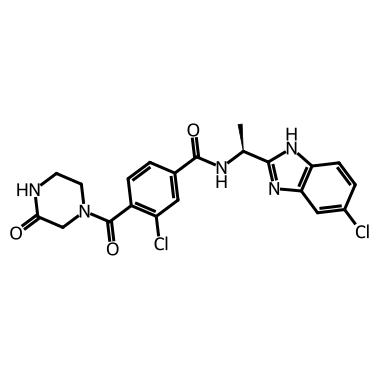 C[C@H](NC(=O)c1ccc(C(=O)N2CCNC(=O)C2)c(Cl)c1)c1nc2cc(Cl)ccc2[nH]1